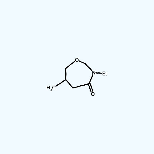 CCN1COCC(C)CC1=O